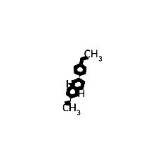 CC=C[C@@H]1CC[C@@H]2C[C@H](C3CCC(CCC)CC3)CC[C@@H]2C1